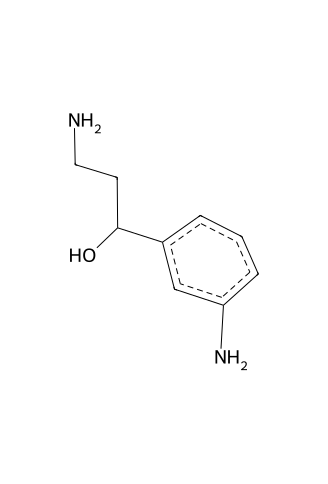 NCCC(O)c1cccc(N)c1